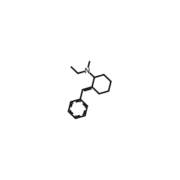 CCN(C)C1CCCCC1=Cc1ccccc1